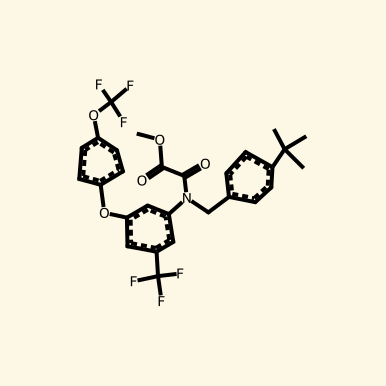 COC(=O)C(=O)N(Cc1ccc(C(C)(C)C)cc1)c1cc(Oc2ccc(OC(F)(F)F)cc2)cc(C(F)(F)F)c1